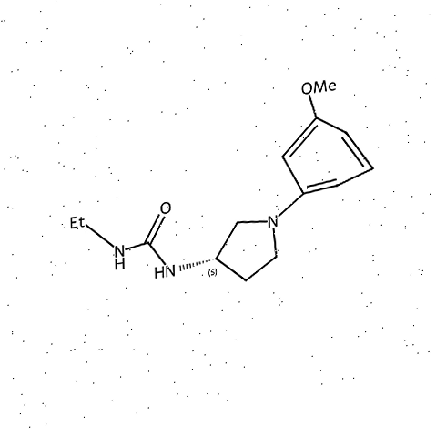 CCNC(=O)N[C@H]1CCN(c2cccc(OC)c2)C1